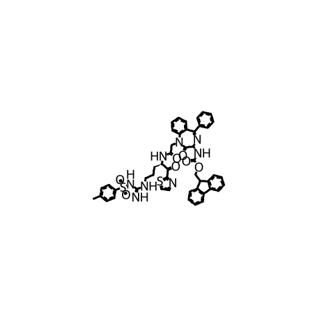 Cc1ccc(S(=O)(=O)NC(=N)NCCC[C@@H](NC(=O)CN2C(=O)C(NC(=O)OCC3c4ccccc4-c4ccccc43)N=C(c3ccccc3)c3ccccc32)C(=O)c2nccs2)cc1